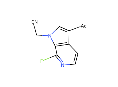 CC(=O)c1cn(CC#N)c2c(F)nccc12